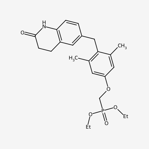 CCOP(=O)(COc1cc(C)c(Cc2ccc3c(c2)CCC(=O)N3)c(C)c1)OCC